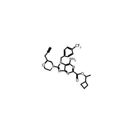 C#CCC1CN(c2nc3nc(C(=O)OC(C)C4CCC4)nc(N)c3n2Cc2ccc(C(F)(F)F)cc2)CCO1